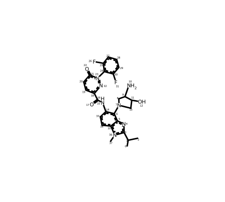 CC(C)c1nc2c(N3CC(N)C(O)C3)c(NC(=O)c3ccc(=O)n(-c4c(F)cccc4F)n3)ccc2n1C